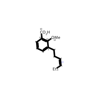 CC/C=C\CCc1cccc(C(=O)O)c1OC